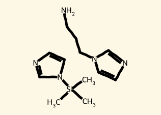 C[Si](C)(C)n1ccnc1.NCCCn1ccnc1